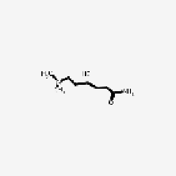 CN(C)CCCCCC(N)=O.Cl